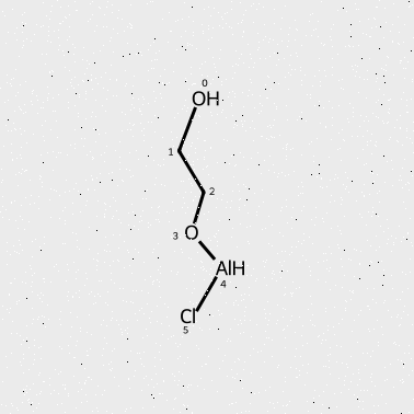 OCC[O][AlH][Cl]